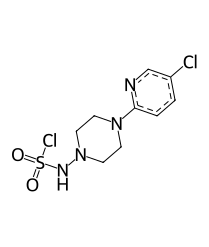 O=S(=O)(Cl)NN1CCN(c2ccc(Cl)cn2)CC1